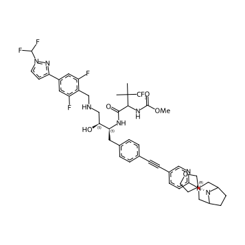 COC(=O)NC(C(=O)N[C@@H](Cc1ccc(C#Cc2ccc(N3CC4CCC(C3)N4[C@@H]3CCOC3)nc2)cc1)[C@@H](O)CNCc1c(F)cc(-c2ccn(C(F)F)n2)cc1F)C(C)(C)C(F)(F)F